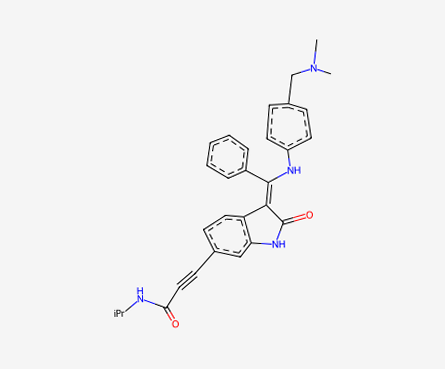 CC(C)NC(=O)C#Cc1ccc2c(c1)NC(=O)/C2=C(\Nc1ccc(CN(C)C)cc1)c1ccccc1